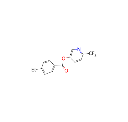 CCc1ccc(C(=O)Oc2ccc(C(F)(F)F)nc2)cc1